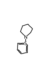 C1=CC=S(N2CCCCC2)C=C1